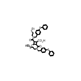 CCSCCN(Cc1ccc(Sc2ccccc2)cc1)C(=O)C1C(C(=O)O)C(C(=O)N(CCSCC)Cc2ccc(Sc3ccccc3)cc2)C1C(=O)O